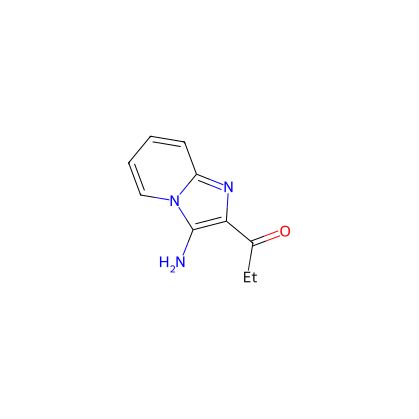 CCC(=O)c1nc2ccccn2c1N